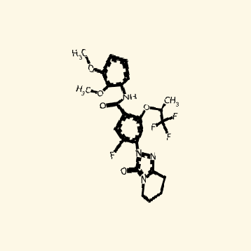 COc1cccc(NC(=O)c2cc(F)c(-n3nc4n(c3=O)CCCC4)cc2O[C@@H](C)C(F)(F)F)c1OC